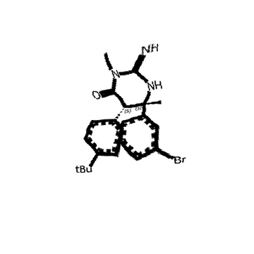 CN1C(=N)N[C@](C)(c2cccc(Br)c2)[C@H](c2ccc(C(C)(C)C)cc2)C1=O